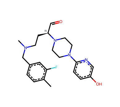 Cc1ccc(CN(C)CC[C@@H](C=O)N2CCN(c3ccc(O)cn3)CC2)cc1F